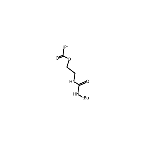 CC(C)C(=O)OCCNC(=O)NC(C)(C)C